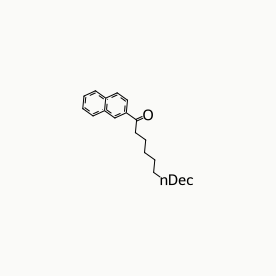 CCCCCCCCCCCCCCCC(=O)c1ccc2ccccc2c1